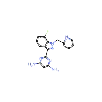 Nc1[c]c(N)nc(-c2nn(Cc3ccccn3)c3c(F)cccc23)n1